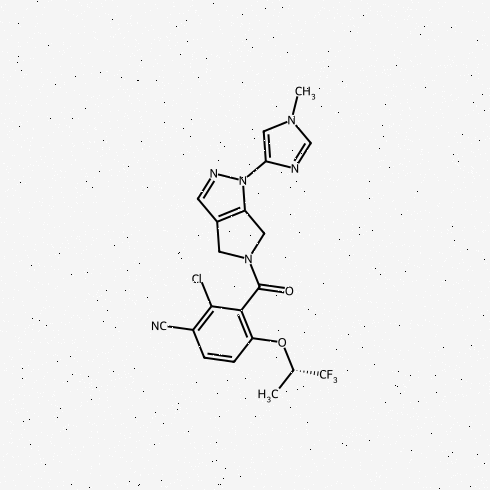 C[C@H](Oc1ccc(C#N)c(Cl)c1C(=O)N1Cc2cnn(-c3cn(C)cn3)c2C1)C(F)(F)F